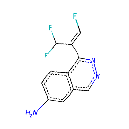 Nc1ccc2c(C(=CF)C(F)F)nncc2c1